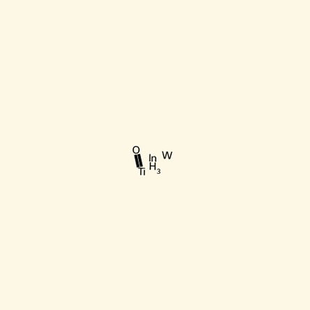 [InH3].[O]=[Ti].[W]